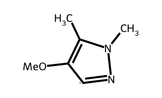 COc1[c]nn(C)c1C